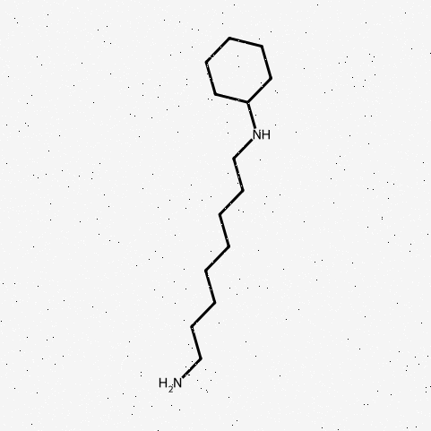 NCCCCCCCCNC1CCCCC1